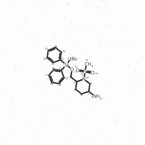 CC(C)(C)[Si](OCC1CCC(N)CN1S(C)(=O)=O)(c1ccccc1)c1ccccc1